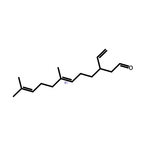 C=CC(CC=O)CC/C=C(\C)CCC=C(C)C